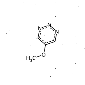 COc1[c]nnnc1